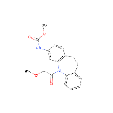 CC(C)OCC(=O)N1c2ccccc2CCc2ccc(NC(=O)OC(C)(C)C)cc21